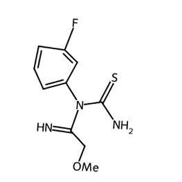 COCC(=N)N(C(N)=S)c1cccc(F)c1